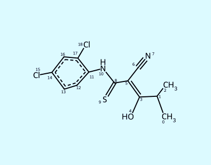 CC(C)/C(O)=C(\C#N)C(=S)Nc1ccc(Cl)cc1Cl